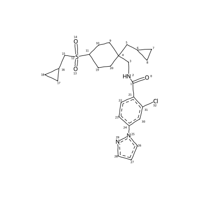 O=C(NCC1(CC2CC2)CCC(S(=O)(=O)CC2CC2)CC1)c1ccc(-n2cccn2)cc1Cl